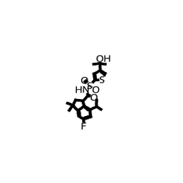 CC(C)c1cc(F)cc2c1C(C(=O)NS(=O)(=O)c1cc(C(C)(C)O)cs1)CC2(C)C